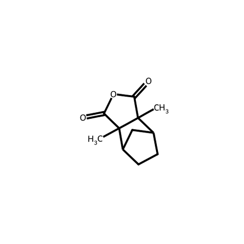 CC12C(=O)OC(=O)C1(C)C1CCC2C1